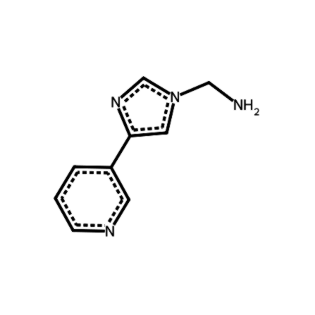 NCn1cnc(-c2cccnc2)c1